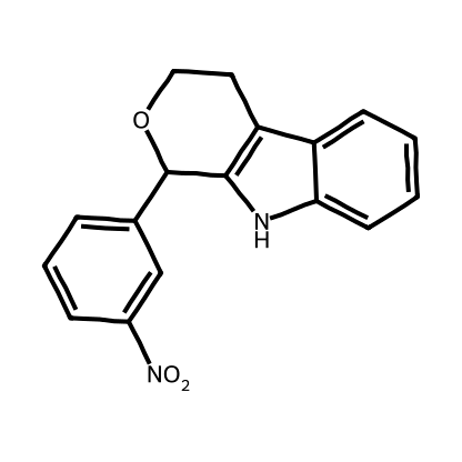 O=[N+]([O-])c1cccc(C2OCCc3c2[nH]c2ccccc32)c1